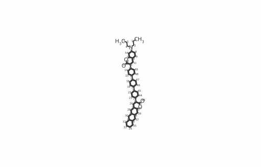 CCCN(CCC)c1ccc2cc(-c3ccc(-c4ccc(-c5ccc(-c6cc7cc8cc9ccccc9cc8cc7oc6=O)cc5)cc4)cc3)c(=O)oc2c1